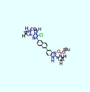 CC(C)(C)OC(=O)N1[C@@H]2C[C@H]2C[C@H]1c1nc2cc(-c3ccc4cc(-c5nc([C@@H]6C[C@H]7C[C@H]7N6C(=O)O)[nH]c5Cl)ccc4c3)ccc2[nH]1